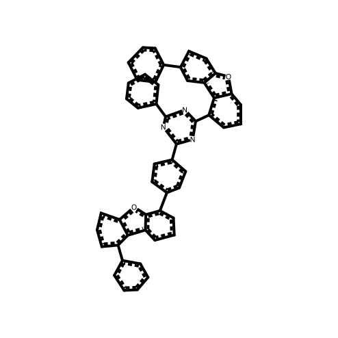 c1ccc(-c2ccc3oc4cccc(-c5nc(-c6ccccc6)nc(-c6ccc(-c7cccc8c7oc7cccc(-c9ccccc9)c78)cc6)n5)c4c3c2)cc1